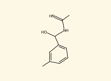 CC(=N)NC(O)c1cccc(C)c1